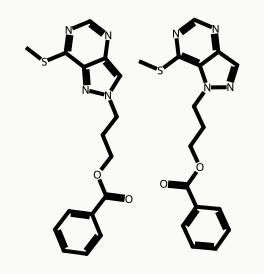 CSc1ncnc2cn(CCCOC(=O)c3ccccc3)nc12.CSc1ncnc2cnn(CCCOC(=O)c3ccccc3)c12